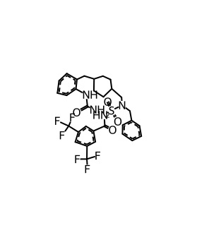 NC(=O)Nc1ccccc1CC1CCC(CN(Cc2ccccc2)S(=O)(=O)NC(=O)c2cc(C(F)(F)F)cc(C(F)(F)F)c2)CC1